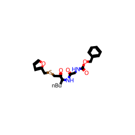 CCCCC(NC(=O)CNC(=O)OCc1ccccc1)C(=O)CSCc1ccco1